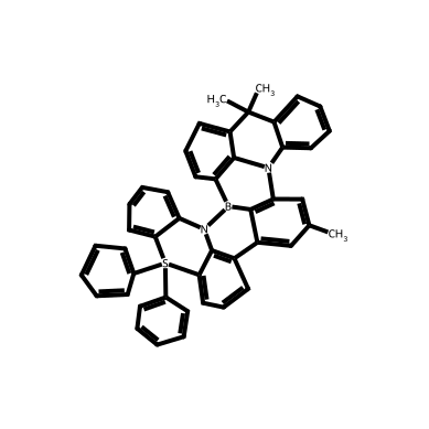 Cc1cc2c3c(c1)N1c4ccccc4C(C)(C)c4cccc(c41)B3N1c3ccccc3S(c3ccccc3)(c3ccccc3)c3cccc-2c31